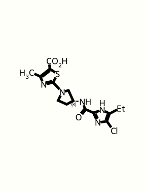 CCc1[nH]c(C(=O)N[C@@H]2CCN(c3nc(C)c(C(=O)O)s3)C2)nc1Cl